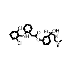 CC[C@](O)(c1cccc(OC(=O)Cc2ccccc2Nc2c(Cl)cccc2Cl)c1)[C@H](C)CN(C)C